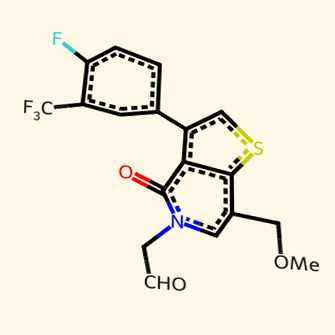 COCc1cn(CC=O)c(=O)c2c(-c3ccc(F)c(C(F)(F)F)c3)csc12